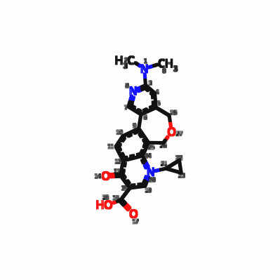 CN(C)c1cc2c(cn1)-c1ccc3c(=O)c(C(=O)O)cn(C4CC4)c3c1COC2